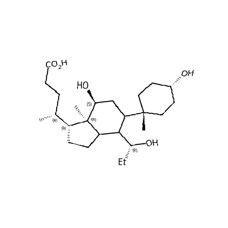 CC[C@@H](O)C1C2CC[C@H]([C@H](C)CCC(=O)O)[C@@]2(C)[C@@H](O)CC1[C@]1(C)CC[C@H](O)CC1